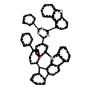 c1ccc(-c2ccc(C3c4ccccc4-c4ccc5c6ccccc6n(-c6cccc(-c7nc(-c8ccccc8)nc(-c8cccc9oc%10ccccc%10c89)n7)c6)c5c43)cc2)cc1